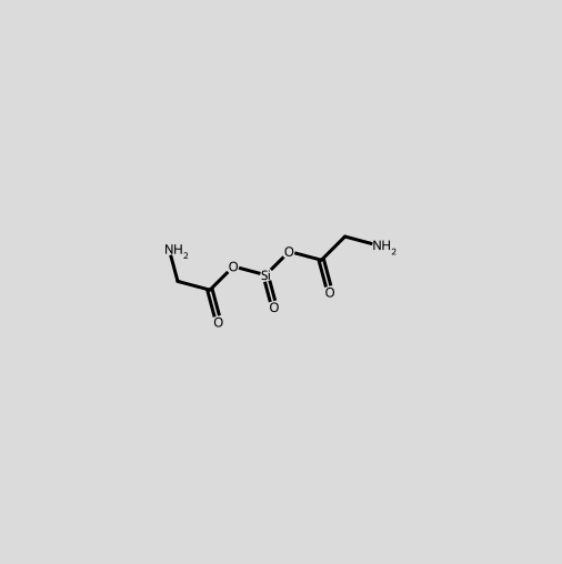 NCC(=O)O[Si](=O)OC(=O)CN